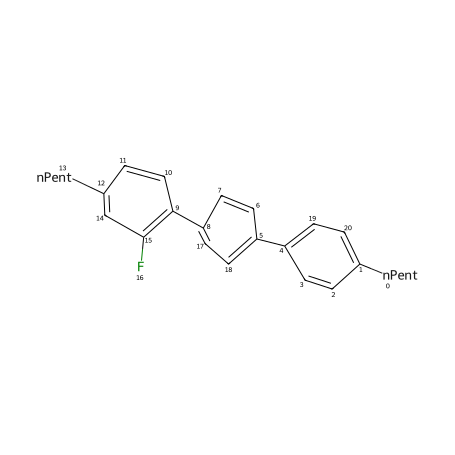 CCCCCc1ccc(-c2ccc(-c3ccc(CCCCC)cc3F)cc2)cc1